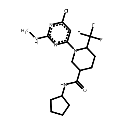 CNc1nc(Cl)cc(N2CC(C(=O)NC3CCCC3)CCC2C(F)(F)F)n1